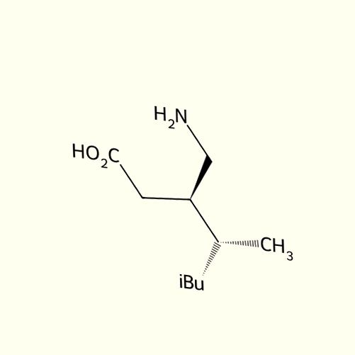 CC[C@@H](C)[C@@H](C)[C@H](CN)CC(=O)O